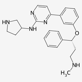 CNCC[C@@H](Oc1cccc(-c2ccnc(NC3CCNC3)n2)c1)c1ccccc1